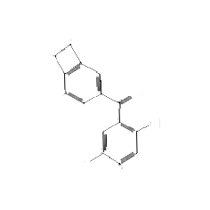 O=C(c1ccc2c(c1)CC2)c1cc(Br)ccc1Cl